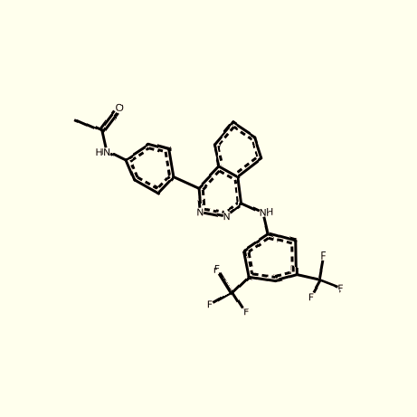 CC(=O)Nc1ccc(-c2nnc(Nc3cc(C(F)(F)F)cc(C(F)(F)F)c3)c3ccccc23)cc1